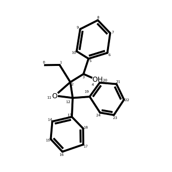 CCC1(C(O)c2ccccc2)OC1(c1ccccc1)c1ccccc1